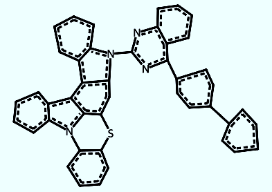 c1ccc(-c2ccc(-c3nc(-n4c5ccccc5c5c6c7ccccc7n7c6c(cc54)Sc4ccccc4-7)nc4ccccc34)cc2)cc1